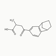 CC(CC(=O)c1ccc2c(c1)C1CCC2C1)C(=O)O